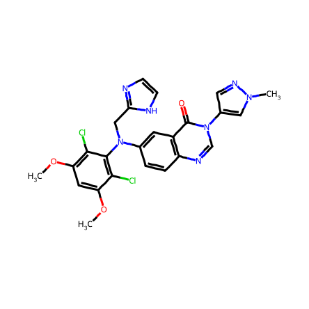 COc1cc(OC)c(Cl)c(N(Cc2ncc[nH]2)c2ccc3ncn(-c4cnn(C)c4)c(=O)c3c2)c1Cl